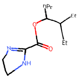 CCCC(OC(=O)C1=NCCN1)C(CC)CC